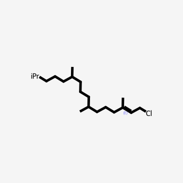 C/C(=C\CCl)CCCC(C)CCCC(C)CCCC(C)C